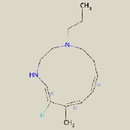 CCCN1CC\C=C/C=C(C)\C(F)=C\NCC1